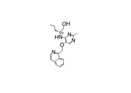 CCC[C@@H](CO)Nc1nc(C)ncc1OCc1nccc2ccccc12